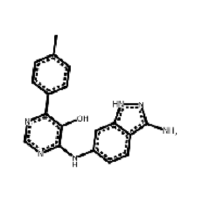 Cc1ccc(-c2ncnc(Nc3ccc4c(N)n[nH]c4c3)c2O)cc1